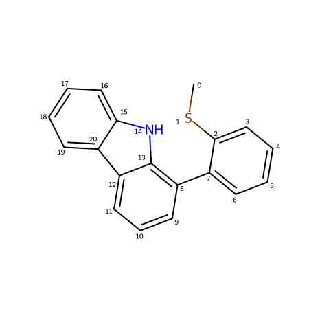 CSc1ccccc1-c1cccc2c1[nH]c1ccccc12